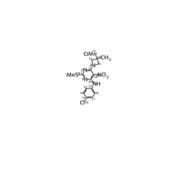 COC1(C)CN(c2nc(SC)nc(Nc3ccc(Cl)cc3)c2[N+](=O)[O-])C1